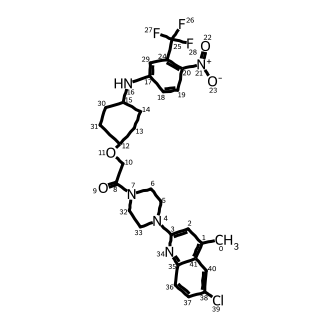 Cc1cc(N2CCN(C(=O)COC3CCC(Nc4ccc([N+](=O)[O-])c(C(F)(F)F)c4)CC3)CC2)nc2ccc(Cl)cc12